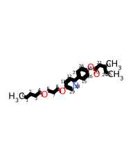 CCCCCOCCCOc1ccc(-c2ccc(OC(=O)CC(C)CC)cc2)nc1